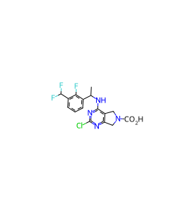 CC(Nc1nc(Cl)nc2c1CN(C(=O)O)C2)c1cccc(C(F)F)c1F